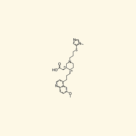 COc1ccc2nccc(CCC[C@@H]3CCN(CCCSc4cncn4C)C[C@@H]3CC(=O)O)c2c1